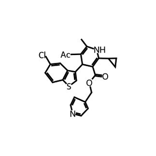 CC(=O)C1=C(C)NC(C2CC2)=C(C(=O)OCc2ccncc2)C1c1csc2ccc(Cl)cc12